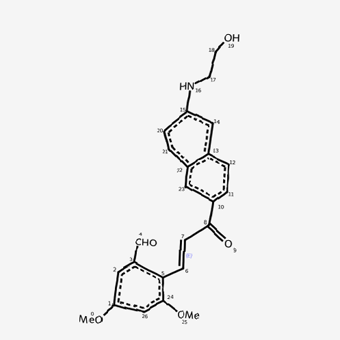 COc1cc(C=O)c(/C=C/C(=O)c2ccc3cc(NCCO)ccc3c2)c(OC)c1